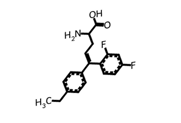 CCc1ccc(/C(=C/CC(N)C(=O)O)c2ccc(F)cc2F)cc1